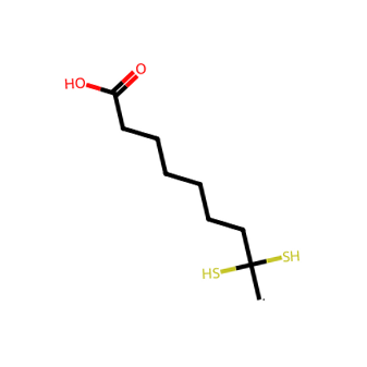 [CH2]C(S)(S)CCCCCCC(=O)O